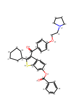 O=C(Oc1ccc2c(C(=O)c3ccc(OCCN4CCCC4)cc3)c(C3CCCCC3)sc2c1)c1ccccc1